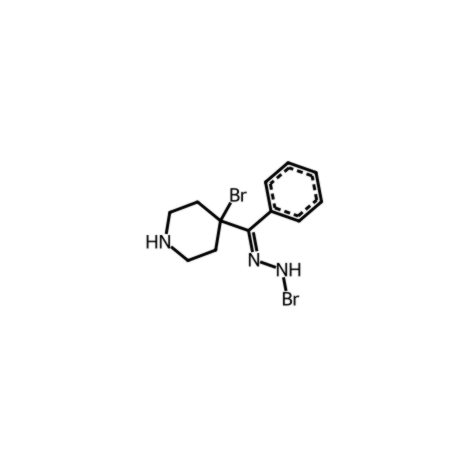 BrNN=C(c1ccccc1)C1(Br)CCNCC1